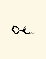 CNCC(=O)N1CCCCC1